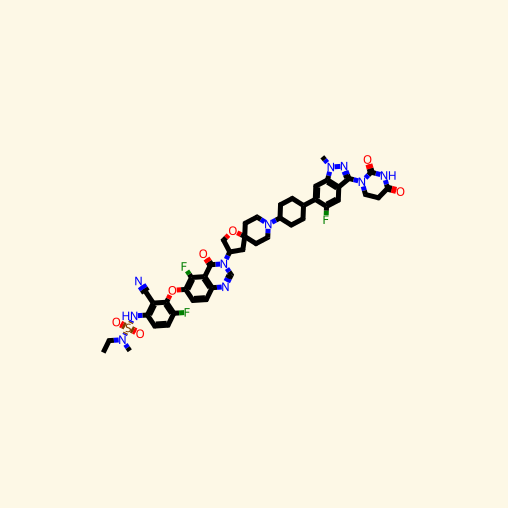 CCN(C)S(=O)(=O)Nc1ccc(F)c(Oc2ccc3ncn(C4COC5(CCN(C6CCC(c7cc8c(cc7F)c(N7CCC(=O)NC7=O)nn8C)CC6)CC5)C4)c(=O)c3c2F)c1C#N